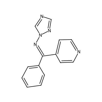 c1ccc(C(=Nn2cncn2)c2ccncc2)cc1